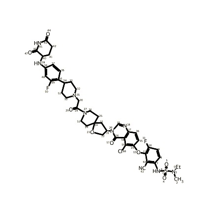 CCN(C)S(=O)(=O)Nc1ccc(F)c(Oc2ccc3ncn([C@H]4COC5(CCN(C(=O)CN6CCC(c7ccc(NC8CCC(=O)NC8=O)cc7F)CC6)CC5)C4)c(=O)c3c2Cl)c1C#N